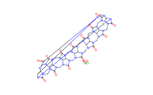 Cl.O.O=C1N2CN3C(=O)N4CN5C(=O)N6CN7C(=O)N8CN9C(=O)N%10CN%11C(=O)N%12CN%13C(=O)N%14CN1C1C2N2CN%15C(=O)N(CN%16C(=O)N(CN%17C(=O)N(CN%18C(=O)N(CN%19C(=O)N(CN%20C(=O)N(CN1C2=O)C%14C%13%20)C%12C%11%19)C%10C9%18)C8C7%17)C6C5%16)C4C3%15